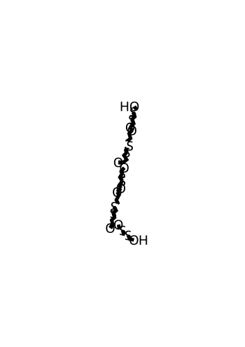 O=C(CCSCSCCCOOCSCSCOC(=O)CCSCSCCCOOCSCSCO)OCSCSCO